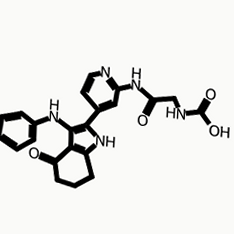 O=C(O)NCC(=O)Nc1cc(-c2[nH]c3c(c2Nc2ccccc2)C(=O)CCC3)ccn1